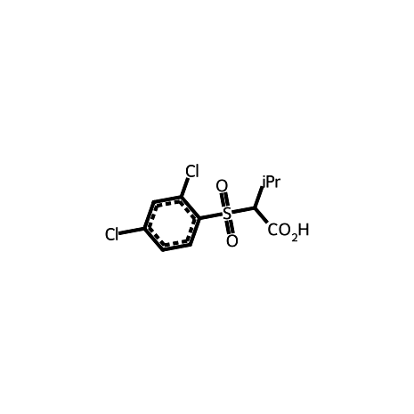 CC(C)C(C(=O)O)S(=O)(=O)c1ccc(Cl)cc1Cl